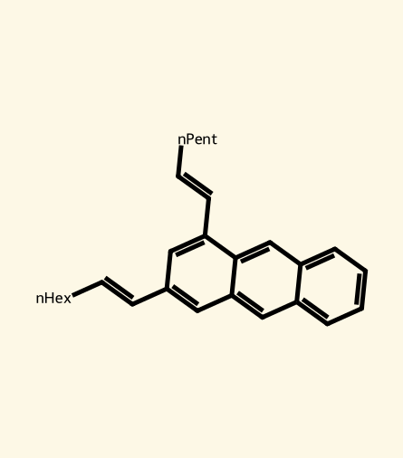 CCCCCC=Cc1cc(C=CCCCCCC)cc2cc3ccccc3cc12